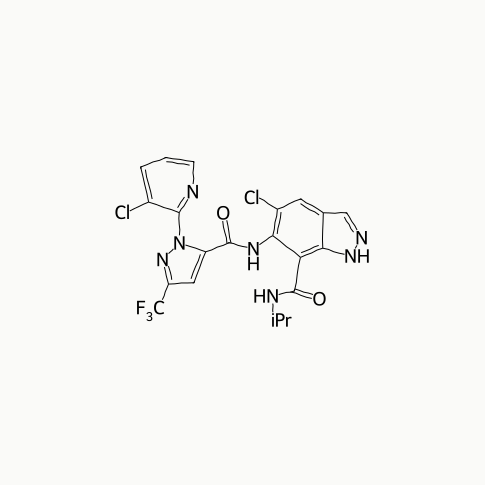 CC(C)NC(=O)c1c(NC(=O)c2cc(C(F)(F)F)nn2-c2ncccc2Cl)c(Cl)cc2cn[nH]c12